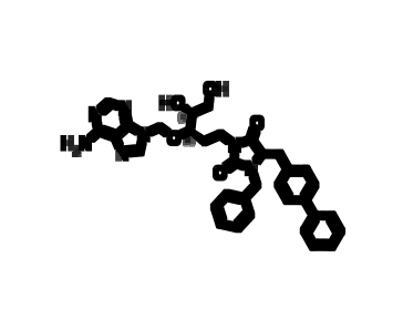 Nc1ncnc2c1ncn2CO[C@H](CCN1C(=O)C(Cc2ccc(-c3ccccc3)cc2)N(Cc2ccccc2)C1=O)[C@@H](O)CO